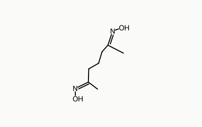 C/C(CCC/C(C)=N/O)=N\O